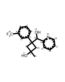 CC1(O)CC(c2cccc(C(F)(F)F)c2)(C(O)c2ccccn2)C1